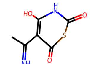 CC(=N)c1c(O)[nH]c(=O)sc1=O